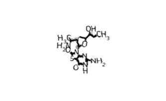 CC[C@H](O)C1C[C@@H]([C@H](C)N)[C@H](n2c(=O)sc3c(=O)[nH]c(N)nc32)O1